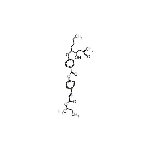 C=C(C=O)CC(O)C(CCCC)Oc1ccc(C(=O)Oc2ccc(/C=C/C(=O)OC(C)CC)cc2)cc1